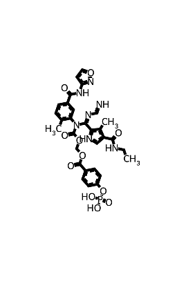 CCNC(=O)c1c[nH]c(/C(=N\C=N)N(C(=O)OCOC(=O)c2ccc(OP(=O)(O)O)cc2)c2cc(C(=O)Nc3ccon3)ccc2C)c1C